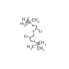 [Li][c]1cc([Si](C)(C)C)sc1-c1sc([Si](C)(C)C)c[c]1[Li]